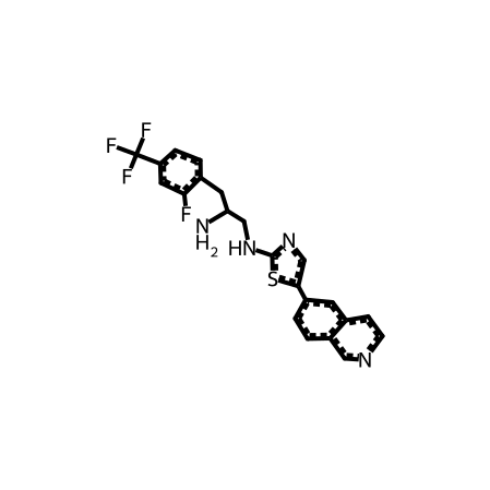 NC(CNc1ncc(-c2ccc3cnccc3c2)s1)Cc1ccc(C(F)(F)F)cc1F